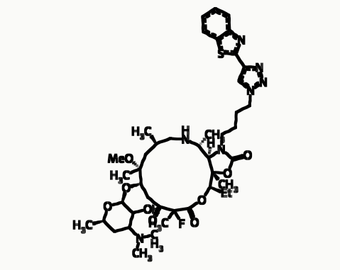 CC[C@H]1OC(=O)C(C)(F)C(=O)C[C@@H](O[C@@H]2O[C@H](C)CC(N(C)C)C2O)[C@](C)(OC)C[C@@H](C)CN[C@H](C)[C@H]2N(CCCCn3cc(-c4nc5ccccc5s4)nn3)C(=O)O[C@]12C